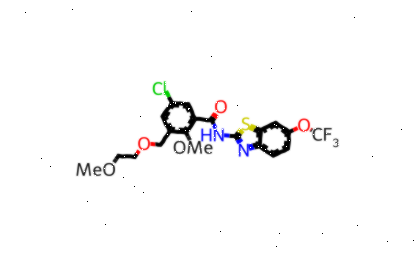 COCCOCc1cc(Cl)cc(C(=O)Nc2nc3ccc(OC(F)(F)F)cc3s2)c1OC